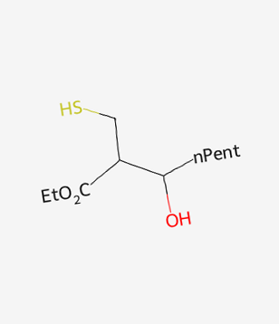 CCCCCC(O)C(CS)C(=O)OCC